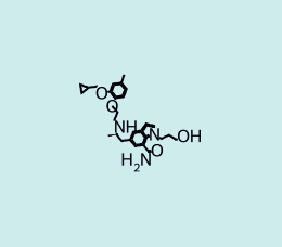 Cc1ccc(OCCN[C@H](C)Cc2cc(C(N)=O)c3c(ccn3CCCO)c2)c(OCC2CC2)c1